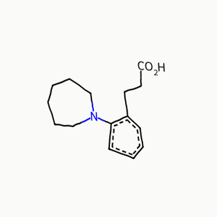 O=C(O)CCc1ccccc1N1CCCCCC1